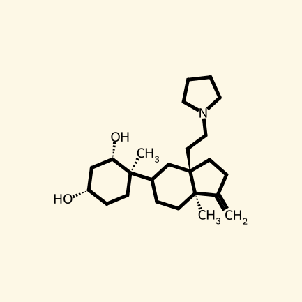 C=C1CC[C@@]2(CCN3CCCC3)CC([C@@]3(C)CC[C@H](O)C[C@@H]3O)CC[C@]12C